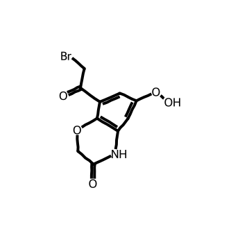 O=C1COc2c(cc(OO)cc2C(=O)CBr)N1